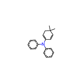 CC1(C)C=CC(N(c2ccccc2)c2ccccc2)=CC1